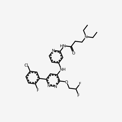 CCN(CC)CCC(=O)Nc1cc(Nc2cc(-c3cc(Cl)ccc3F)nnc2OCC(F)F)ccn1